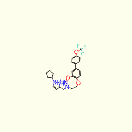 FC(F)(F)Oc1ccc(-c2ccc3c(c2)ONN(CC2C=CN(C4CCCC4)N2)CCO3)cc1